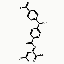 C=C(F)c1ccc(C(O)c2ccc(C(=C)/N=C(\C=C(/C)N)C(N)=O)cc2)nc1